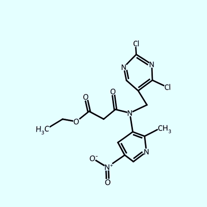 CCOC(=O)CC(=O)N(Cc1cnc(Cl)nc1Cl)c1cc([N+](=O)[O-])cnc1C